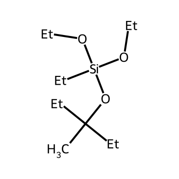 CCO[Si](CC)(OCC)OC(C)(CC)CC